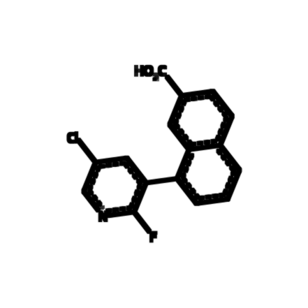 O=C(O)c1ccc2cccc(-c3cc(Cl)cnc3F)c2c1